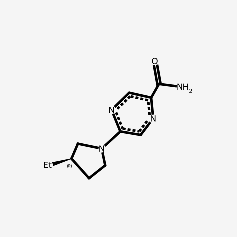 CC[C@@H]1CCN(c2cnc(C(N)=O)cn2)C1